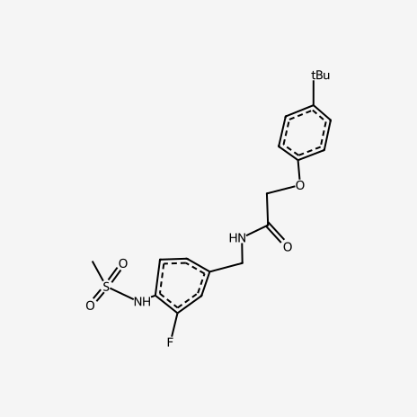 CC(C)(C)c1ccc(OCC(=O)NCc2ccc(NS(C)(=O)=O)c(F)c2)cc1